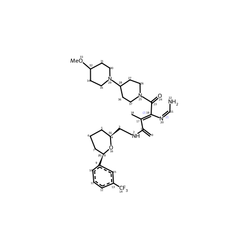 C=C(NC[C@@H]1CCC[C@H](c2cccc(C(F)(F)F)c2)O1)/C(C)=C(\N=C/N)C(=O)N1CCC(N2CCC(OC)CC2)CC1